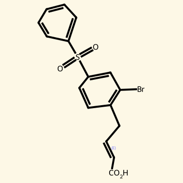 O=C(O)/C=C/Cc1ccc(S(=O)(=O)c2ccccc2)cc1Br